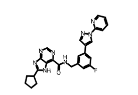 O=C(NCc1cc(F)cc(-c2cnn(-c3ccccn3)c2)c1)c1ncnc2nc(C3CCCC3)[nH]c12